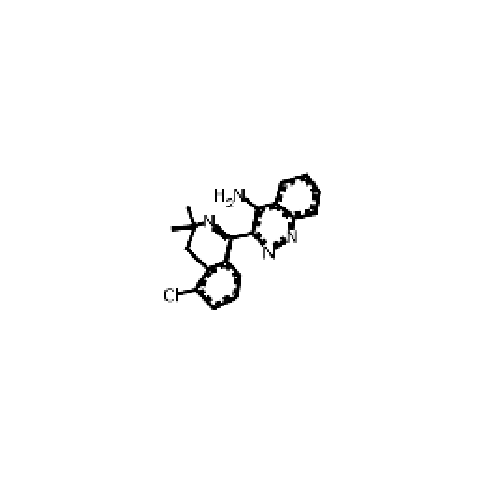 CC1(C)Cc2c(Cl)cccc2C(c2nnc3ccccc3c2N)=N1